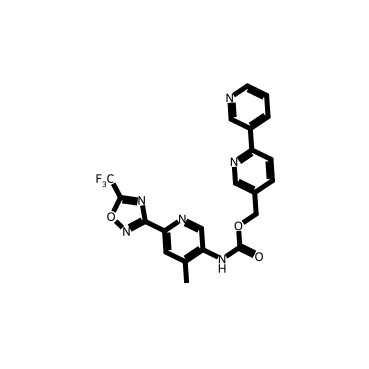 Cc1cc(-c2noc(C(F)(F)F)n2)ncc1NC(=O)OCc1ccc(-c2cccnc2)nc1